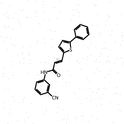 N#Cc1cccc(NC(=O)/C=C/c2ccc(-c3ccccc3)s2)c1